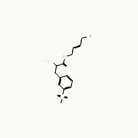 COC(Cc1cccc(S(C)(=O)=O)c1)C(=O)NCC=CCN